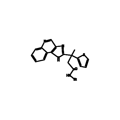 CCNC(=O)CC(C)(c1nc2cnc3ccccc3c2[nH]1)c1cccs1